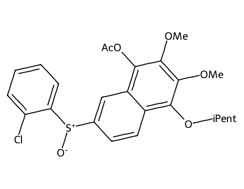 CCCC(C)Oc1c(OC)c(OC)c(OC(C)=O)c2cc([S+]([O-])c3ccccc3Cl)ccc12